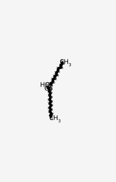 CCCCCCCCCCCCCCOP(=O)(O)CCCCCCCCCCCCCC